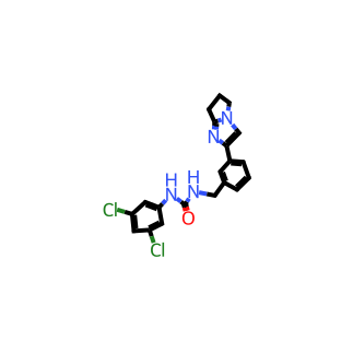 O=C(NCc1cccc(-c2cn3c(n2)CCC3)c1)Nc1cc(Cl)cc(Cl)c1